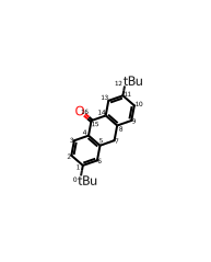 CC(C)(C)c1ccc2c(c1)Cc1ccc(C(C)(C)C)cc1C2=O